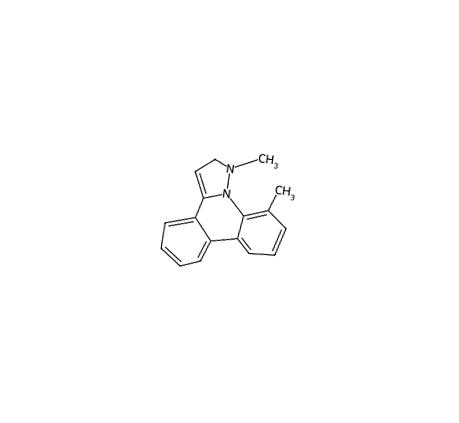 Cc1cccc2c1N1C(=CCN1C)c1ccccc1-2